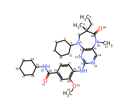 CC[C@@]1(C)CN(C2CCCCC2)c2nc(Nc3ccc(C(=O)NC4CCCCC4)cc3OC)ncc2N(C)C1=O